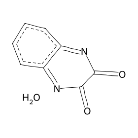 O.O=C1N=c2ccccc2=NC1=O